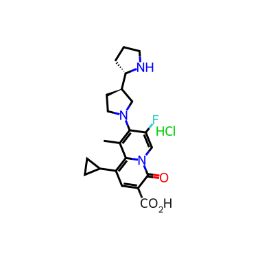 Cc1c(N2CC[C@@H]([C@@H]3CCCN3)C2)c(F)cn2c(=O)c(C(=O)O)cc(C3CC3)c12.Cl